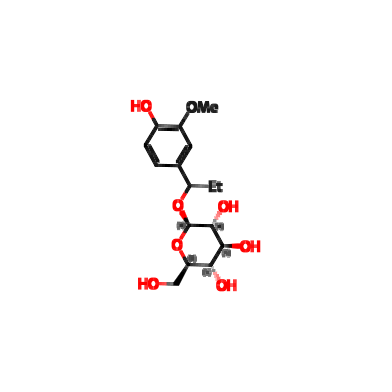 CCC(O[C@@H]1O[C@H](CO)[C@@H](O)[C@H](O)[C@H]1O)c1ccc(O)c(OC)c1